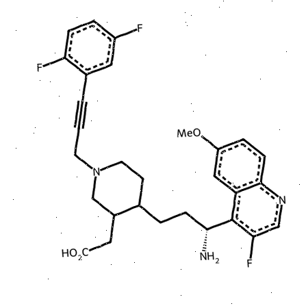 COc1ccc2ncc(F)c([C@H](N)CCC3CCN(CC#Cc4cc(F)ccc4F)CC3CC(=O)O)c2c1